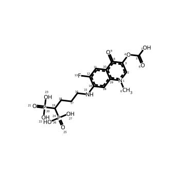 Cn1cc(OC(=O)O)c(=O)c2cc(F)c(NCCCC(P(=O)(O)O)P(=O)(O)O)cc21